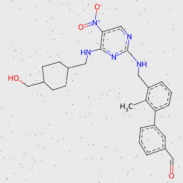 Cc1c(CNc2ncc([N+](=O)[O-])c(NCC3CCC(CO)CC3)n2)cccc1-c1cccc(C=O)c1